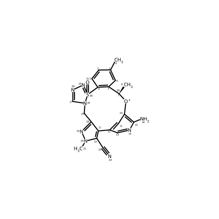 Cc1ccc2c(c1)[C@@H](C)Oc1cc(cnc1N)-c1c(nn(C)c1C#N)CN1C=NN=S21=O